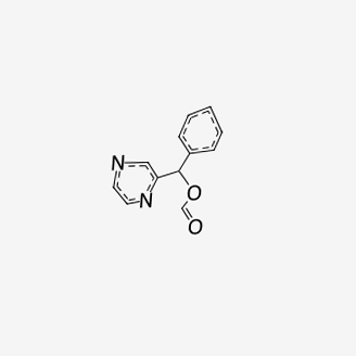 O=COC(c1ccccc1)c1cnccn1